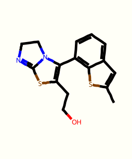 Cc1cc2cccc(C3=C(CCO)SC4=NCCN43)c2s1